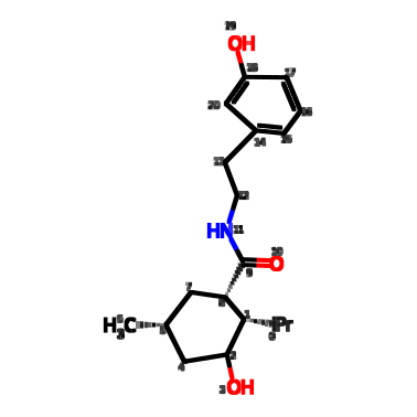 CC(C)[C@@H]1C(O)C[C@H](C)C[C@@H]1C(=O)NCCc1cccc(O)c1